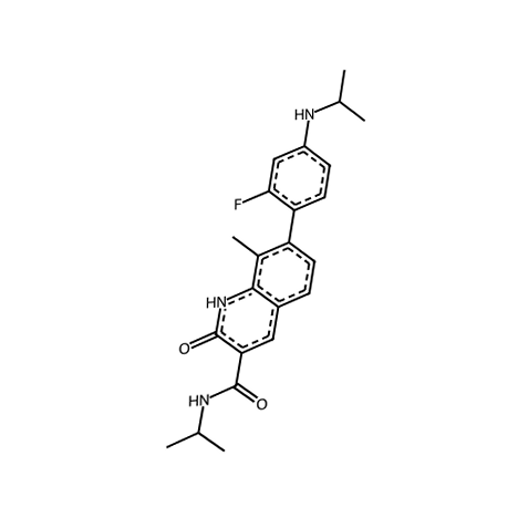 Cc1c(-c2ccc(NC(C)C)cc2F)ccc2cc(C(=O)NC(C)C)c(=O)[nH]c12